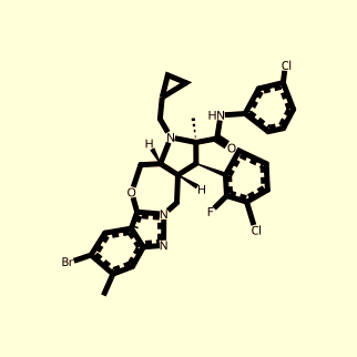 Cc1cc2nn3c(c2cc1Br)OC[C@H]1[C@@H](C3)[C@H](c2cccc(Cl)c2F)[C@](C)(C(=O)Nc2cccc(Cl)c2)N1CC1CC1